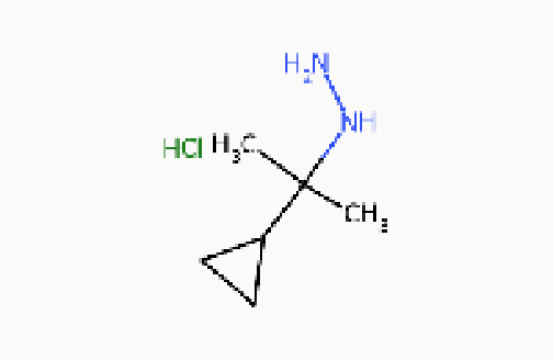 CC(C)(NN)C1CC1.Cl